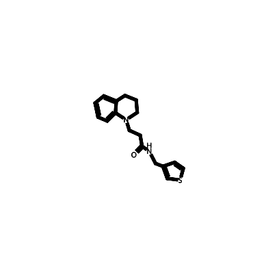 O=C(CCN1CCCc2ccccc21)NCc1ccsc1